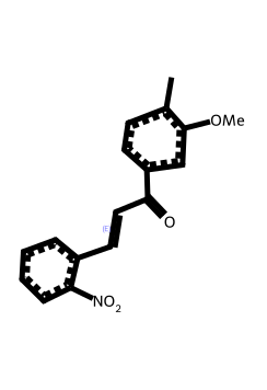 COc1cc(C(=O)/C=C/c2ccccc2[N+](=O)[O-])ccc1C